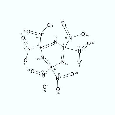 O=[N+]([O-])P1([N+](=O)[O-])=NP([N+](=O)[O-])([N+](=O)[O-])=NP([N+](=O)[O-])([N+](=O)[O-])=N1